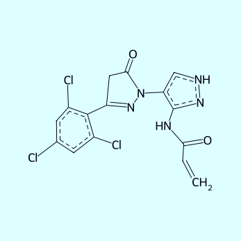 C=CC(=O)Nc1n[nH]cc1N1N=C(c2c(Cl)cc(Cl)cc2Cl)CC1=O